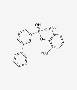 CCCCc1cccc(CCCC)c1O[PH](O)(O)c1cccc(-c2ccccc2)c1